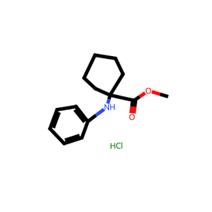 COC(=O)C1(Nc2ccccc2)CCCCC1.Cl